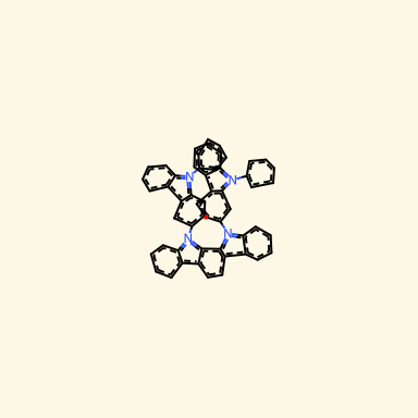 c1ccc(-n2c3ccccc3c3cc(-n4c5ccccc5c5ccc6c7ccccc7n(-c7ccc8c9ccccc9n(-c9ccccc9)c8c7)c6c54)ccc32)cc1